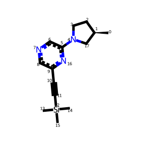 C[C@@H]1CCN(c2cncc(C#C[Si](C)(C)C)n2)C1